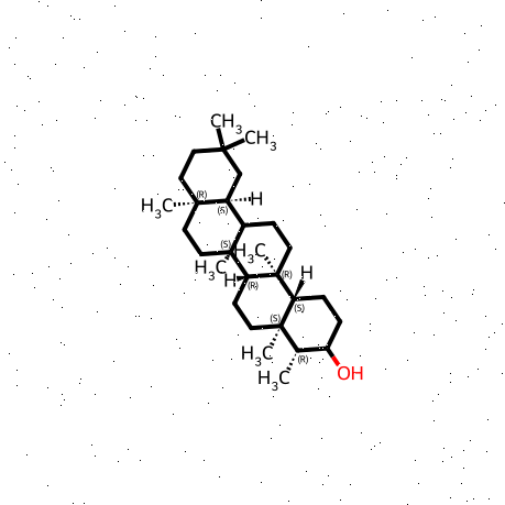 C[C@H]1C(O)CC[C@@H]2[C@]1(C)CC[C@H]1[C@@]2(C)CCC2[C@@H]3CC(C)(C)CC[C@]3(C)CC[C@@]21C